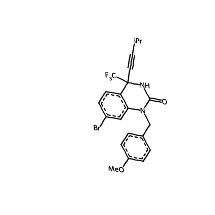 COc1ccc(CN2C(=O)NC(C#CC(C)C)(C(F)(F)F)c3ccc(Br)cc32)cc1